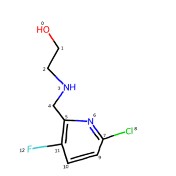 OCCNCc1nc(Cl)ccc1F